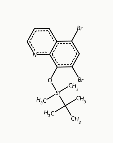 CC(C)(C)[Si](C)(C)Oc1c(Br)cc(Br)c2cccnc12